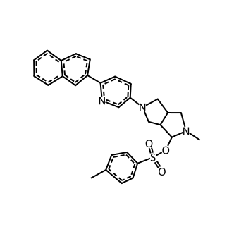 Cc1ccc(S(=O)(=O)OC2C3CN(c4ccc(-c5ccc6ccccc6c5)nc4)CC3CN2C)cc1